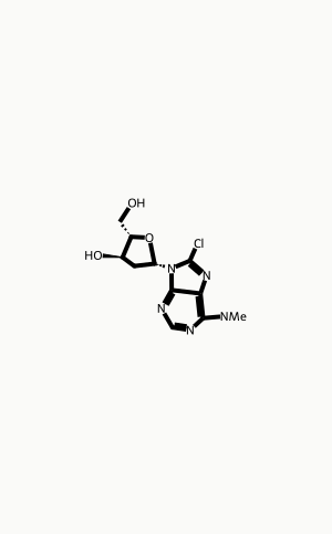 CNc1ncnc2c1nc(Cl)n2[C@@H]1C[C@@H](O)[C@H](CO)O1